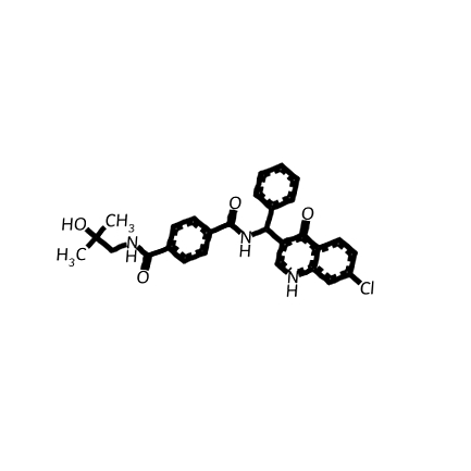 CC(C)(O)CNC(=O)c1ccc(C(=O)NC(c2ccccc2)c2c[nH]c3cc(Cl)ccc3c2=O)cc1